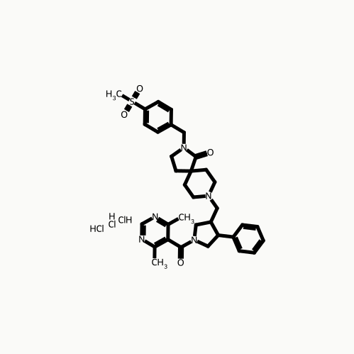 Cc1ncnc(C)c1C(=O)N1CC(CN2CCC3(CC2)CCN(Cc2ccc(S(C)(=O)=O)cc2)C3=O)C(c2ccccc2)C1.Cl.Cl.Cl